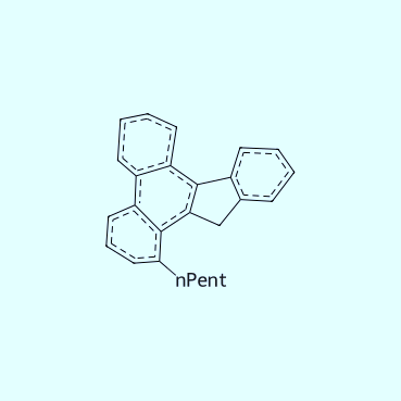 CCCCCc1cccc2c1c1c(c3ccccc32)-c2ccccc2C1